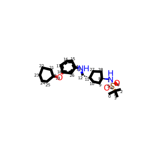 CC(C)(C)S(=O)(=O)N[C@H]1CC[C@H](CNc2cccc(OC3CCCCC3)c2)CC1